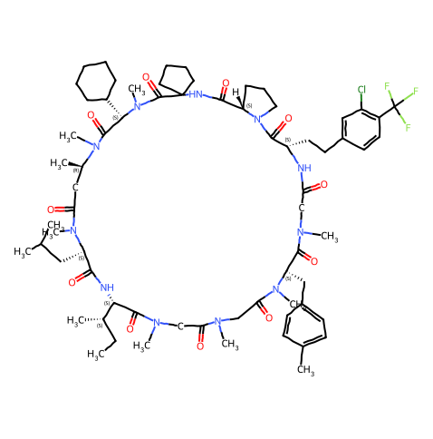 CC[C@H](C)[C@@H]1NC(=O)[C@H](CC(C)C)N(C)C(=O)C[C@@H](C)N(C)C(=O)[C@H](C2CCCCC2)N(C)C(=O)C2(CCCC2)NC(=O)[C@@H]2CCCN2C(=O)[C@H](CCc2ccc(C(F)(F)F)c(Cl)c2)NC(=O)CN(C)C(=O)[C@H](Cc2ccc(C)cc2)N(C)C(=O)CN(C)C(=O)CN(C)C1=O